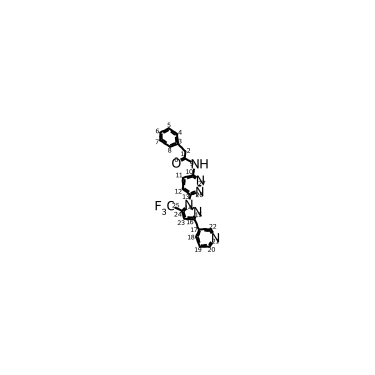 O=C(Cc1ccccc1)Nc1ccc(-n2nc(-c3cccnc3)cc2C(F)(F)F)nn1